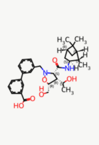 C[C@@H]1[C@@H](NC(=O)[C@@H]2[C@H]([C@H](C)O)[C@H](CO)ON2Cc2cccc(-c3cccc(C(=O)O)c3)c2)C[C@H]2C[C@@H]1C2(C)C